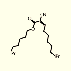 CC(C)CCCCCC=C(C#N)C(=O)OCCCCCC(C)C